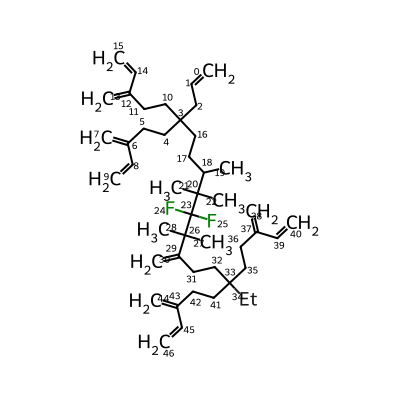 C=CCC(CCC(=C)C=C)(CCC(=C)C=C)CCC(C)C(C)(C)C(F)(F)C(C)(C)C(=C)CCC(CC)(CCC(=C)C=C)CCC(=C)C=C